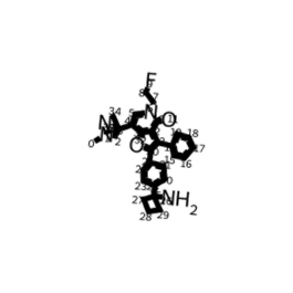 Cn1cc(-c2cn(CCF)c(=O)c3c(-c4ccccc4)c(-c4ccc(C5(N)CCC5)cc4)oc23)cn1